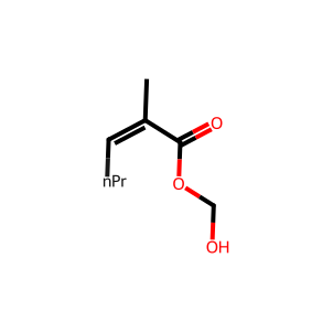 CCCC=C(C)C(=O)OCO